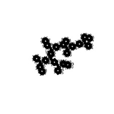 c1ccc(N(c2ccc(N(c3ccc(N(c4ccccc4)c4ccc5ccccc5c4)cc3)c3ccc(N(c4ccc(-c5cc(N(c6ccccc6)c6ccc(-c7ccc(N(c8ccccc8)c8cccc9ccccc89)cc7)cc6)c6ccccc6c5)cc4)c4ccc5ccccc5c4)cc3)cc2)c2ccc3ccccc3c2)cc1